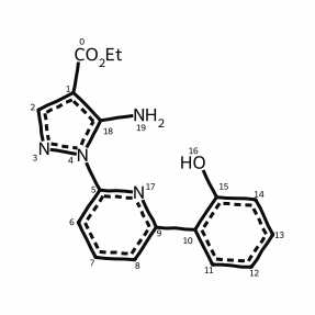 CCOC(=O)c1cnn(-c2cccc(-c3ccccc3O)n2)c1N